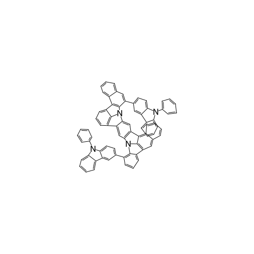 c1ccc(-n2c3ccccc3c3cc(-c4cc5ccccc5c5c6cccc7c8cc9c(cc8n(c45)c76)c4c5ccccc5cc5c6cccc(-c7ccc8c(c7)c7ccccc7n8-c7ccccc7)c6n9c54)ccc32)cc1